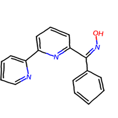 O/N=C(/c1ccccc1)c1cccc(-c2ccccn2)n1